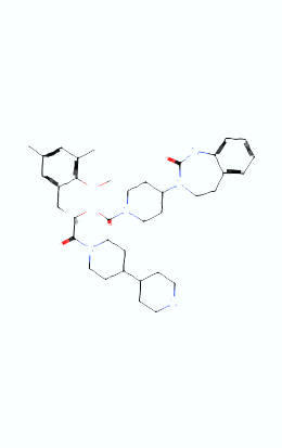 COc1c(C)cc(C)cc1C[C@@H](OC(=O)N1CCC(N2CCc3ccccc3NC2=O)CC1)C(=O)N1CCC(C2CCNCC2)CC1